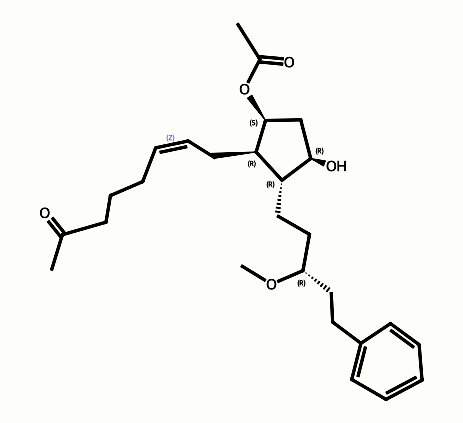 CO[C@@H](CCc1ccccc1)CC[C@@H]1[C@@H](C/C=C\CCCC(C)=O)[C@@H](OC(C)=O)C[C@H]1O